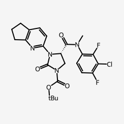 CN(C(=O)[C@@H]1CN(C(=O)OC(C)(C)C)C(=O)N1c1ccc2c(n1)CCC2)c1ccc(F)c(Cl)c1F